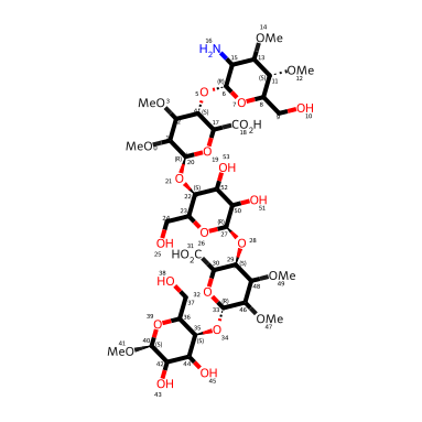 COC1C(OC)[C@H](O[C@H]2OC(CO)[C@@H](OC)C(OC)C2N)C(C(=O)O)O[C@H]1O[C@@H]1C(CO)O[C@H](O[C@@H]2C(C(=O)O)O[C@@H](O[C@@H]3C(CO)O[C@H](OC)C(O)C3O)C(OC)C2OC)C(O)C1O